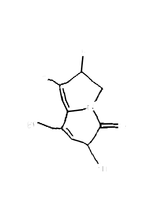 CC1C=C(Br)C2=C(F)C(F)CN2C1=O